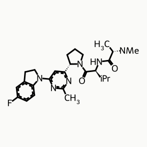 CN[C@@H](C)C(=O)N[C@H](C(=O)N1CCC[C@H]1c1cc(N2CCc3cc(F)ccc32)nc(C)n1)C(C)C